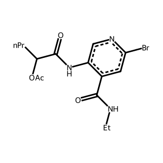 CCCC(OC(C)=O)C(=O)Nc1cnc(Br)cc1C(=O)NCC